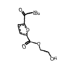 CC(C)(C)C(=O)c1ccc(C(=O)OCCO)o1